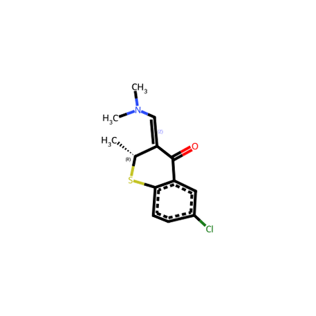 C[C@H]1Sc2ccc(Cl)cc2C(=O)/C1=C/N(C)C